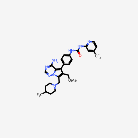 COCc1c(-c2ccc(NC(=O)Nc3cc(C(F)(F)F)ccn3)cc2)c2c(N)ncnn2c1CN1CCC(C(F)(F)F)CC1